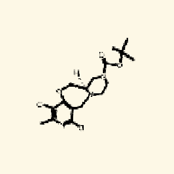 CC(C)(C)OC(=O)N1CCN2Cc3c(Cl)nc(I)c(Cl)c3OC[C@H]2C1